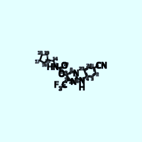 N#Cc1ccc(Nc2ncc(OC(=O)NCC3CCCC3)c(C(F)(F)F)n2)cc1